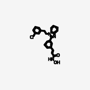 O=C(C=Cc1cccc(-c2nc3ccccc3n2CCc2cccc(Cl)c2)c1)NO